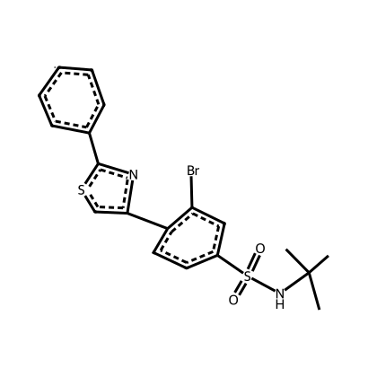 CC(C)(C)NS(=O)(=O)c1ccc(-c2csc(-c3cc[c]cc3)n2)c(Br)c1